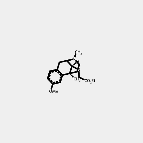 CCOC(=O)CO[C@H]1C2Cc3ccc(OC)cc3[C@@]1(C)CCN2C